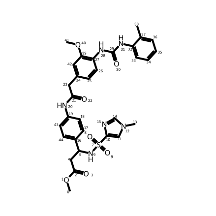 COC(=O)CC(NS(=O)(=O)c1cn(C)cn1)c1ccc(NC(=O)Cc2ccc(NC(=O)Nc3ccccc3C)c(OC)c2)cc1